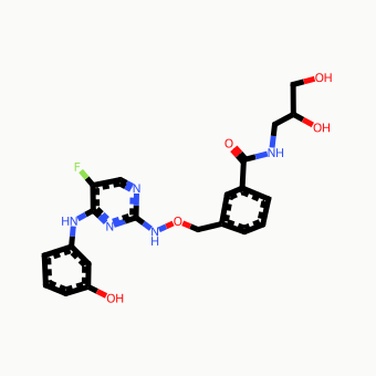 O=C(NCC(O)CO)c1cccc(CONc2ncc(F)c(Nc3cccc(O)c3)n2)c1